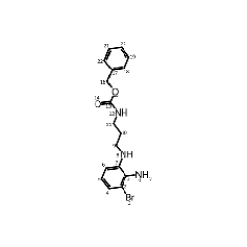 Nc1c(Br)cccc1NCCCNC(=O)OCc1ccccc1